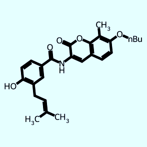 CCCCOc1ccc2cc(NC(=O)c3ccc(O)c(CC=C(C)C)c3)c(=O)oc2c1C